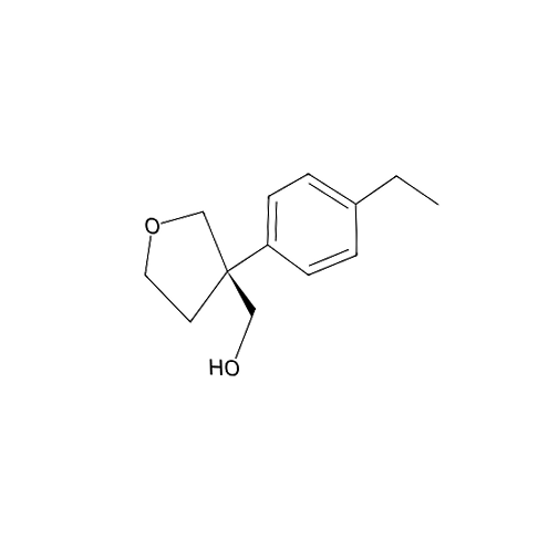 CCc1ccc([C@]2(CO)CCOC2)cc1